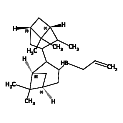 C=CCBC1C[C@@H]2C[C@H](C1C1C[C@@H]3C[C@H](C1C)C3(C)C)C2(C)C